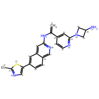 C=C(Nc1cc2cc(-c3cnc(CC)s3)ccc2cn1)c1ccnc(N2CC(N)C2)c1